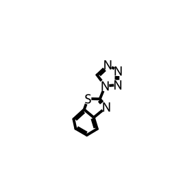 c1ccc2sc(-n3cnnn3)nc2c1